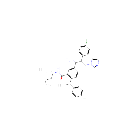 CSCC[C@H](NC(=O)c1cc(C(N)C(Cn2ccnc2)c2ccc(F)cc2)ccc1C(C)c1ccc(F)cc1)C(=O)O